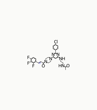 CC(=O)NCCNc1cc(N2CCN(C(=O)/C=C/c3ccc(F)c(F)c3F)CC2)nc(-c2ccc(Cl)cc2)n1